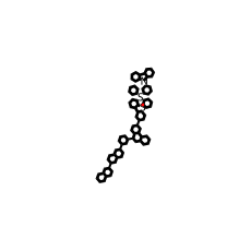 c1ccc(S(c2ccccc2)(c2cccc(-n3c4ccccc4c4ccccc43)c2)c2cccc3c2sc2ccc(-c4ccc5c(-c6cccc(-c7ccc8cc(-c9ccc%10ccccc%10c9)ccc8c7)c6)cc6ccccc6c5c4)cc23)cc1